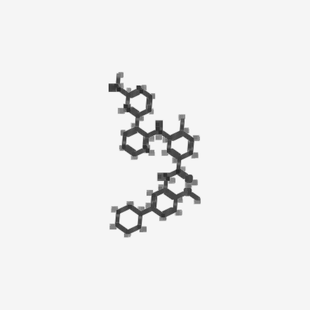 CNc1nccc(-c2cccnc2Nc2cc(C(=O)Nc3cc(C4CCCCC4)ccc3OC)ccc2C)n1